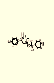 Cc1ccc(C(N)CC(=O)OC(C)(C)C2CCNCC2)cc1